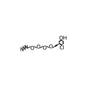 [N-]=[N+]=NCCOCCOCCOCCOCC#Cc1cc(O)ccc1Cl